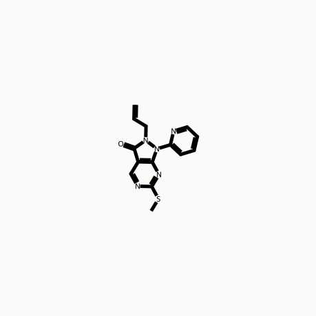 C=CCn1c(=O)c2cnc(SC)nc2n1-c1ccccn1